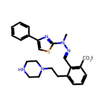 CN(/N=C/c1c(CCN2CCNCC2)cccc1C(=O)O)c1nc(-c2ccccc2)cs1